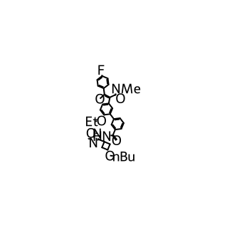 CCCCOC1CC(NC(=O)c2cccc(-c3cc4c(C(=O)NC)c(-c5ccc(F)cc5)oc4cc3OCC)c2)(c2ncon2)C1